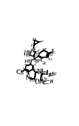 BC(Nc1cc(Cl)c2ncc(C#N)c(N[C@H](CC#N)C(C)(C)C)c2c1)(C1=CN(C2CC2)NN1)c1ccc(F)cc1